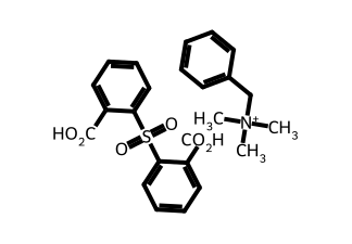 C[N+](C)(C)Cc1ccccc1.O=C(O)c1ccccc1S(=O)(=O)c1ccccc1C(=O)O